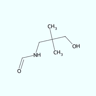 CC(C)(CO)CNC=O